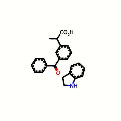 CC(C(=O)O)c1cccc(C(=O)c2ccccc2)c1.c1ccc2c(c1)CCN2